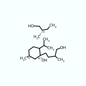 CC(CO)CC[C@@]1(O)C[C@@H](C)CCC1C(C)C.CC[C@H](C)CO